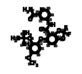 BC(B)(B)Oc1cc(OC(F)(F)F)ccc1Oc1ccc2c(c1C(=O)Nc1ccnc(C(N)=O)c1)OC(F)(F)O2